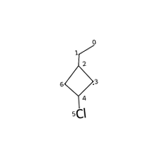 CCC1[CH]C(Cl)C1